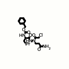 CC(C)CC(NC(=O)OCc1ccccc1)C(=O)NN(CCC(N)=O)C(=O)CCl